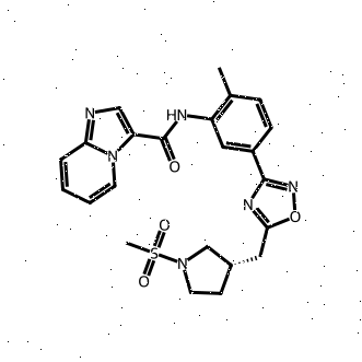 Cc1ccc(-c2noc(C[C@@H]3CCN(S(C)(=O)=O)C3)n2)cc1NC(=O)c1cnc2ccccn12